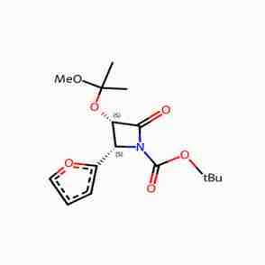 COC(C)(C)O[C@@H]1C(=O)N(C(=O)OC(C)(C)C)[C@@H]1c1ccco1